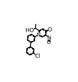 CC(O)c1cc(=O)c(N=O)cn1-c1cccc(-c2cccc(Cl)c2)c1